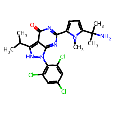 CC(C)c1[nH]n(-c2c(Cl)cc(Cl)cc2Cl)c2nc(-c3ccc(C(C)(C)N)n3C)nc(=O)c1-2